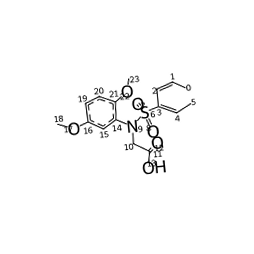 C/C=C\C(=C/C)S(=O)(=O)N(CC(=O)O)c1cc(OC)ccc1OC